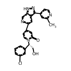 Cc1cc(-c2n[nH]c3cnc(-c4ccn([C@H](CO)c5cccc(Cl)c5)c(=O)c4)cc23)ccn1